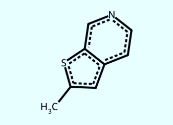 Cc1cc2ccncc2s1